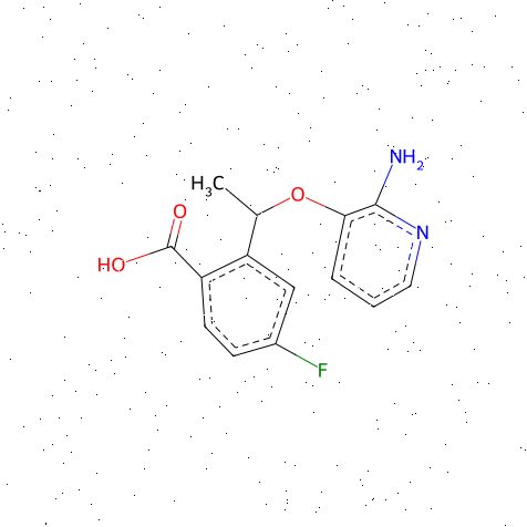 CC(Oc1cccnc1N)c1cc(F)ccc1C(=O)O